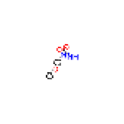 COC(=O)C1=CNCN1Cc1ccc(OCc2ccccc2)cc1